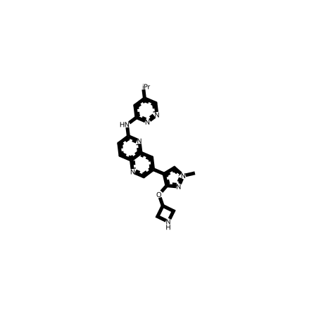 CC(C)c1cnnc(Nc2ccc3ncc(-c4cn(C)nc4OC4CNC4)cc3n2)c1